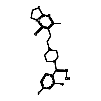 Cc1nc2n(c(=O)c1CCN1CCN(C(=NO)c3ccc(F)cc3F)CC1)CCS2